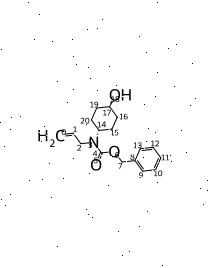 C=CCN(C(=O)OCc1ccccc1)[C@H]1CC[C@H](O)CC1